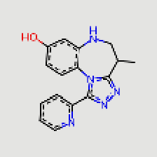 CC1CNc2cc(O)ccc2-n2c(-c3ccccn3)nnc21